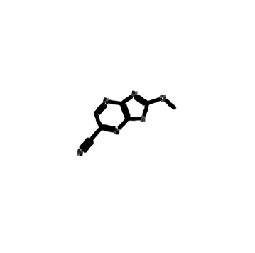 COc1nc2ncc(C#N)nc2s1